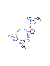 C=CC(=O)N(C)CCOc1cccc2c1N1CCCCCOc3c(cnn3C)-c3cc(cc(C)n3)C(=O)/N=C/1N2